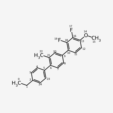 CCc1ccc(-c2ccc(-c3ccc(OC)c(F)c3F)cc2C)cc1